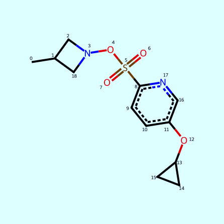 CC1CN(OS(=O)(=O)c2ccc(OC3CC3)cn2)C1